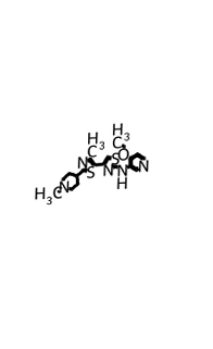 CCOc1ccncc1Nc1nc(-c2sc(C3CCN(C)CC3)nc2C)cs1